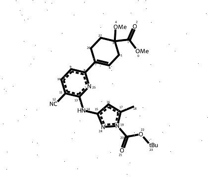 COC(=O)C1(OC)CC=C(c2ccc(C#N)c(Nc3cc(C)n(C(=O)OC(C)(C)C)n3)n2)CC1